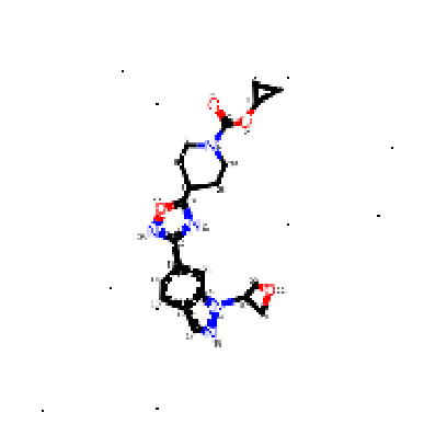 O=C(OC1CC1)N1CCC(c2nc(-c3ccc4cnn(C5COC5)c4c3)no2)CC1